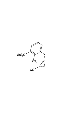 CCOC(=O)c1cccc(CN2CC2C#N)c1C